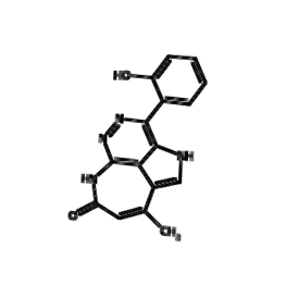 CC1=CC(=O)Nc2nnc(-c3ccccc3O)c3[nH]cc1c23